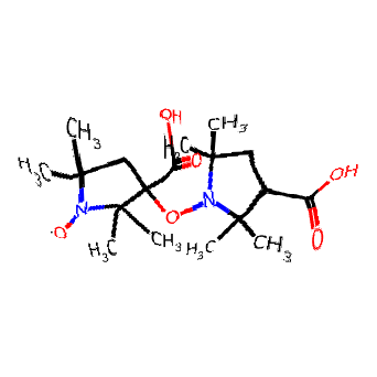 CC1(C)CC(C(=O)O)C(C)(C)N1OC1(C(=O)O)CC(C)(C)N([O])C1(C)C